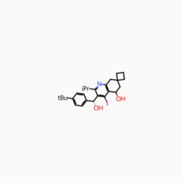 CC(C)c1nc2c(c(I)c1[C@H](O)c1ccc(C(C)(C)C)cc1)C(O)CC1(CCC1)C2